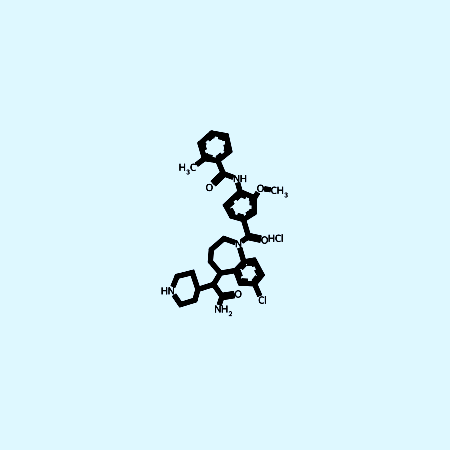 COc1cc(C(=O)N2CCCC(C(C(N)=O)C3CCNCC3)c3cc(Cl)ccc32)ccc1NC(=O)c1ccccc1C.Cl